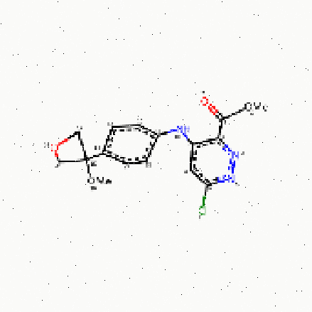 COC(=O)c1nnc(Cl)cc1Nc1ccc(C2(OC)COC2)cc1